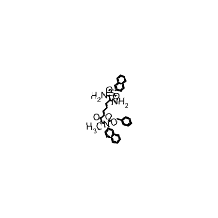 C[C@@H](C(=O)CCCCC(N)C(N)S(=O)(=O)c1ccc2ccccc2c1)N(C(=O)OCc1ccccc1)c1ccc2ccccc2c1